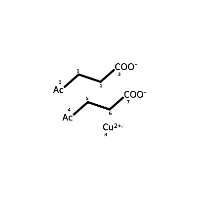 CC(=O)CCC(=O)[O-].CC(=O)CCC(=O)[O-].[Cu+2]